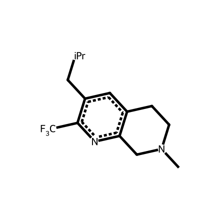 CC(C)Cc1cc2c(nc1C(F)(F)F)CN(C)CC2